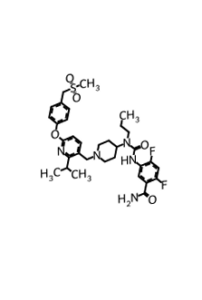 CCCN(C(=O)Nc1cc(C(N)=O)c(F)cc1F)C1CCN(Cc2ccc(Oc3ccc(CS(C)(=O)=O)cc3)nc2C(C)C)CC1